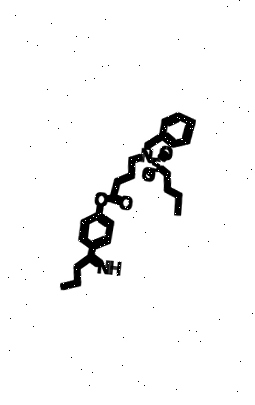 CCCCS(=O)(=O)N(CCCC(=O)Oc1ccc(C(=N)CCC)cc1)Cc1ccccc1